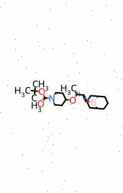 C[C@@H](/C=C/B1C2CCCC1CCC2)OC1CCN(C(=O)OC(C)(C)C)CC1